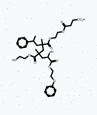 CCCC(CC(C)(CC(C)(CC(C)c1ccccc1)C(=O)OCCOC(=O)CCC(=O)O)C(=O)OCCO)C(=O)OCCOc1ccccc1